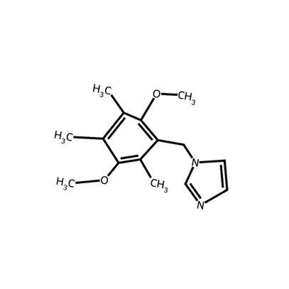 COc1c(C)c(C)c(OC)c(Cn2ccnc2)c1C